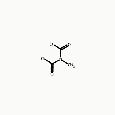 CCC(=O)N(C)C(=O)Cl